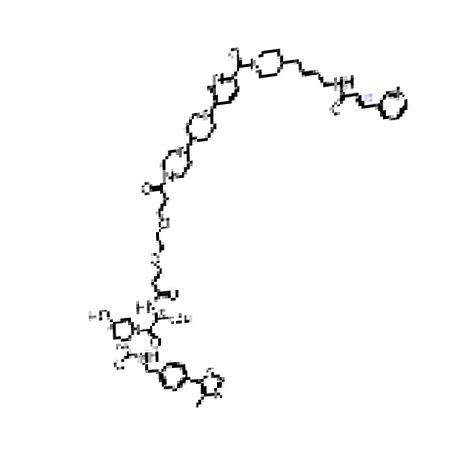 Cc1ncsc1-c1ccc(CNC(=O)[C@@H]2C[C@@H](O)CN2C(=O)[C@@H](NC(=O)CCOCCOCCC(=O)N2CCN(C3CCN(c4ccc(C(=O)N5CCC(CCCCNC(=O)/C=C/c6cccnc6)CC5)nn4)CC3)CC2)C(C)(C)C)cc1